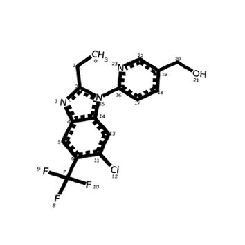 CCc1nc2cc(C(F)(F)F)c(Cl)cc2n1-c1ccc(CO)cn1